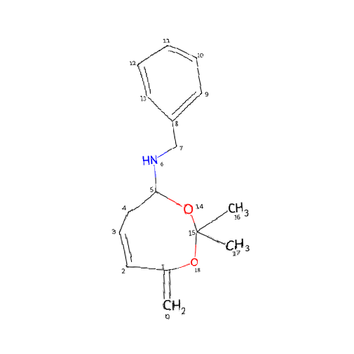 C=C1/C=C\CC(NCc2ccccc2)OC(C)(C)O1